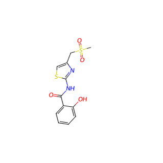 CS(=O)(=O)Cc1csc(NC(=O)c2ccccc2O)n1